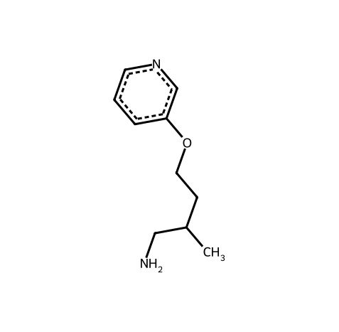 CC(CN)CCOc1cccnc1